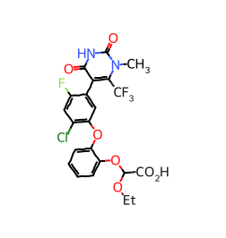 CCOC(Oc1ccccc1Oc1cc(-c2c(C(F)(F)F)n(C)c(=O)[nH]c2=O)c(F)cc1Cl)C(=O)O